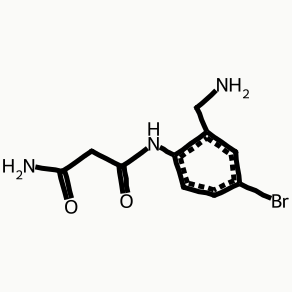 NCc1cc(Br)ccc1NC(=O)CC(N)=O